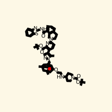 Cc1c(-c2ccc(N3CCc4cccc(C(=O)Nc5nc6ccccc6s5)c4C3)nc2C(=O)OC(C)(C)C)cnn1CC12CC3(C)CC(C)(C1)CC(OCCNC1CCN(C(=O)OC(C)(C)C)CC1)(C3)C2